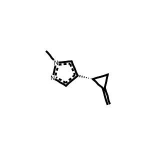 C=C1C[C@H]1c1cnn(C)c1